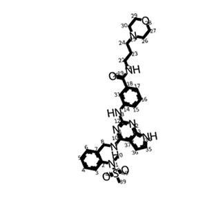 CN(c1ccccc1CNc1nc(Nc2cccc(C(=O)NCCCN3CCOCC3)c2)nc2[nH]ccc12)S(C)(=O)=O